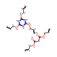 C=CCOC(=O)CC(=O)OCC=C.C=CCOc1nc(OCC=C)nc(OCC=C)n1